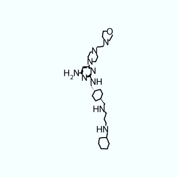 Nc1cc(N2CCN(CCN3CCOCC3)CC2)nc(NC[C@H]2CC[C@H](CNCCCNCC3CCCCC3)CC2)n1